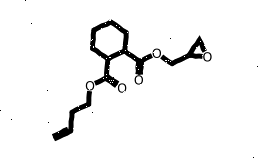 C=CCCOC(=O)C1CCCCC1C(=O)OCC1CO1